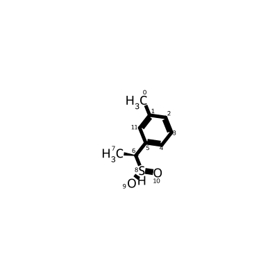 Cc1cccc([C@H](C)[SH](=O)=O)c1